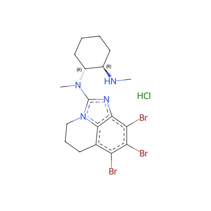 CN[C@@H]1CCCC[C@H]1N(C)c1nc2c(Br)c(Br)c(Br)c3c2n1CCC3.Cl